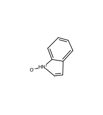 [O-][NH+]1[C]=Cc2ccccc21